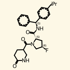 CC(C)c1ccc([C@@H](NC(=O)[C@@H]2C[C@@H](F)CN2C(=O)C2CCC(=O)NC2)c2ccccc2)cc1